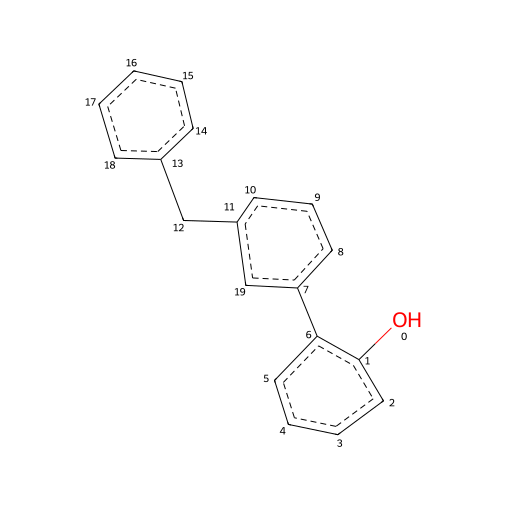 Oc1ccccc1-c1cccc(Cc2ccccc2)c1